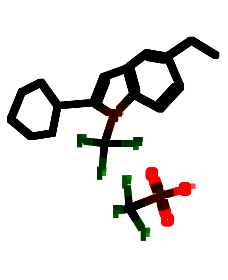 CCc1ccc2c(c1)cc(C1CCCCC1)[s+]2C(F)(F)F.O=S(=O)([O-])C(F)(F)F